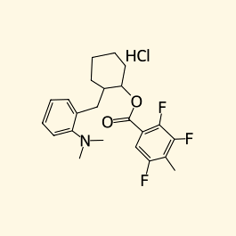 Cc1c(F)cc(C(=O)OC2CCCCC2Cc2ccccc2N(C)C)c(F)c1F.Cl